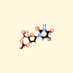 CC(=O)O[C@@H]1C[C@H](n2cc(I)c(=O)[nH]c2=O)O[C@@H]1CO